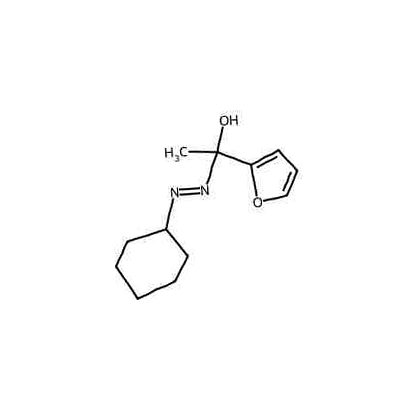 CC(O)(N=NC1CCCCC1)c1ccco1